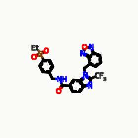 CCS(=O)(=O)c1ccc(CNC(=O)c2ccc3nc(C(F)(F)F)n(Cc4cccc5nonc45)c3c2)cc1